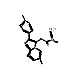 Cc1ccc(-c2nc3ccc(C)cn3c2CC(=O)N(C)C)cc1.O